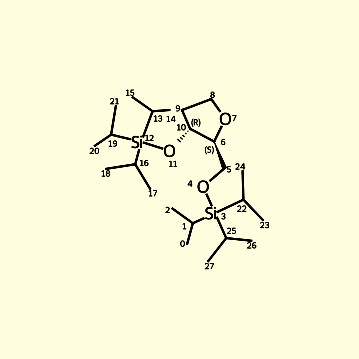 CC(C)[Si](OC[C@@H]1OCC[C@H]1O[Si](C(C)C)(C(C)C)C(C)C)(C(C)C)C(C)C